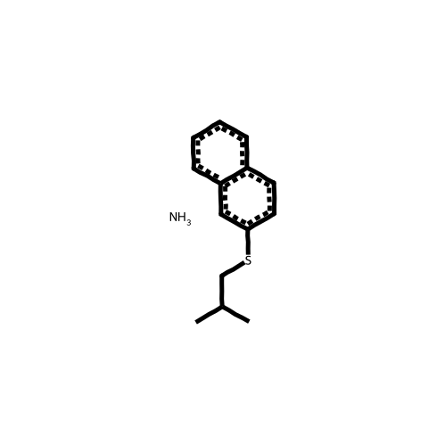 CC(C)CSc1ccc2ccccc2c1.N